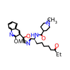 CCC(=O)CCCCC[C@H](NC(=O)C1CCN(C)CC1)c1ncc(-c2cc3ccccc3nc2OC)o1